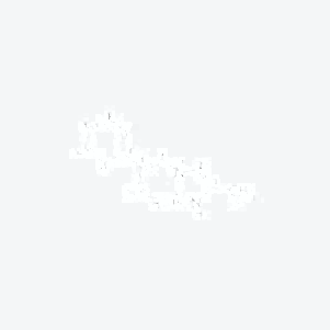 Cc1cn2cc(-c3ccccc3)ccc2n1